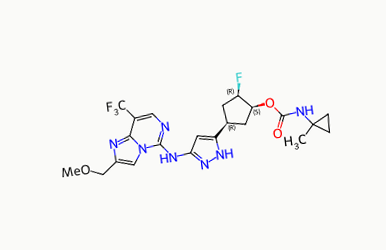 COCc1cn2c(Nc3cc([C@H]4C[C@@H](F)[C@@H](OC(=O)NC5(C)CC5)C4)[nH]n3)ncc(C(F)(F)F)c2n1